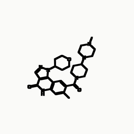 Cc1cc2[nH]c(=O)c3cnn(C4CCOCC4)c3c2cc1C(=O)N1CCC(N2CCN(C)CC2)CC1